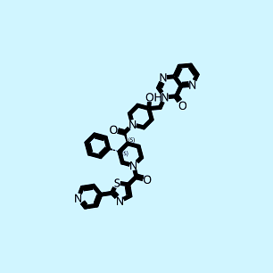 O=C(c1cnc(-c2ccncc2)s1)N1CC[C@H](C(=O)N2CCC(O)(Cn3cnc4cccnc4c3=O)CC2)[C@@H](c2ccccc2)C1